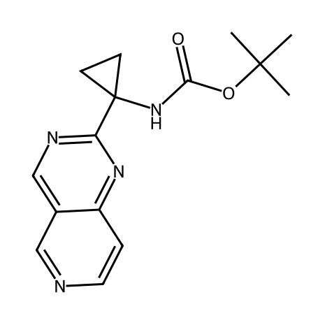 CC(C)(C)OC(=O)NC1(c2ncc3cnccc3n2)CC1